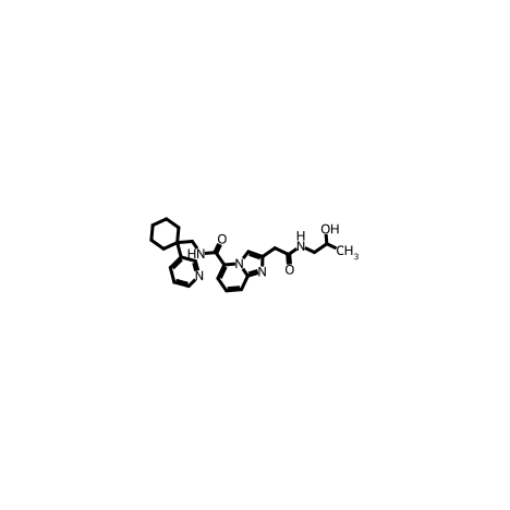 CC(O)CNC(=O)Cc1cn2c(C(=O)NCC3(c4cccnc4)CCCCC3)cccc2n1